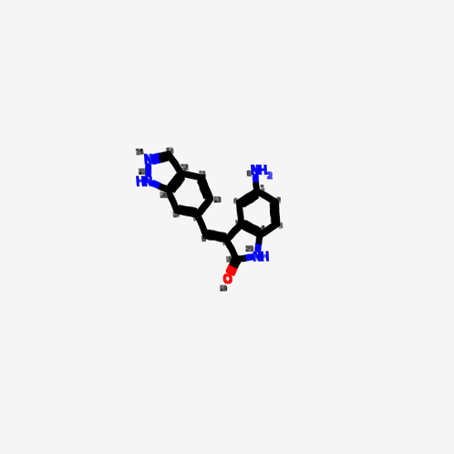 Nc1ccc2c(c1)/C(=C\c1ccc3cn[nH]c3c1)C(=O)N2